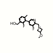 COC1CN(Cc2ncc(-c3c(C)ccc(CO)c3F)cc2F)C1